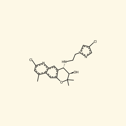 Cc1cc(Cl)nc2cc3c(cc12)OC(C)(C)[C@H](O)[C@H]3NCCn1cc(Cl)cn1